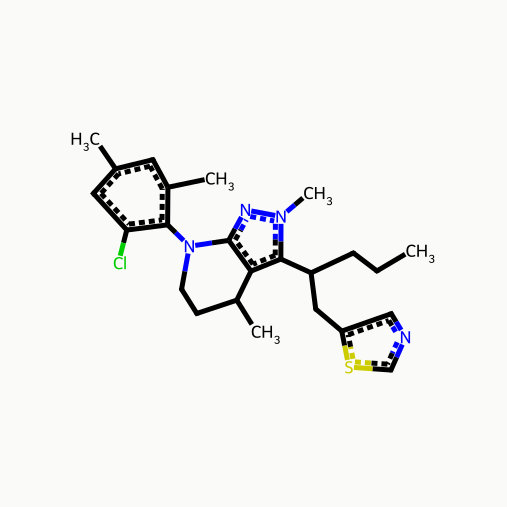 CCCC(Cc1cncs1)c1c2c(nn1C)N(c1c(C)cc(C)cc1Cl)CCC2C